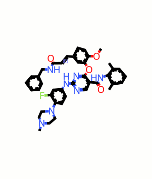 COc1ccc(/C=C/C(=O)NCc2ccccc2)cc1Oc1nc(Nc2ccc(N3CCN(C)CC3)c(F)c2)ncc1C(=O)Nc1c(C)cccc1C